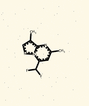 Cc1cc(C(F)F)n2ncc(C)c2n1